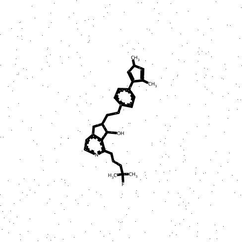 CC1=CC(C)C=C1c1ccc(CCC2Cc3ccnc(CCCC(C)(C)F)c3C2O)cc1